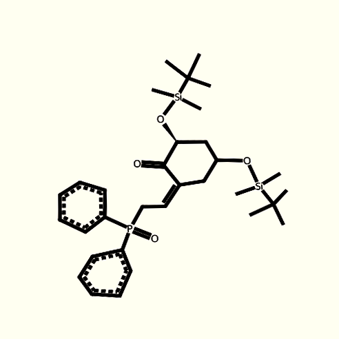 CC(C)(C)[Si](C)(C)OC1C/C(=C/CP(=O)(c2ccccc2)c2ccccc2)C(=O)[C@@H](O[Si](C)(C)C(C)(C)C)C1